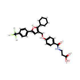 O=C(O)CCNC(=O)c1ccc(OCc2cc(-c3ccc(C(F)(F)F)cc3)oc2C2CCCCC2)cc1